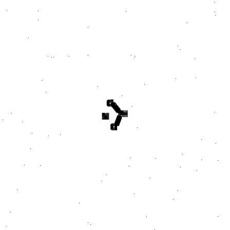 ClPCl.[Ni]